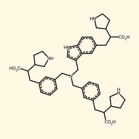 O=C(O)C(Cc1cccc(CN(Cc2cccc(CC(C(=O)O)C3CCNC3)c2)Cc2c[nH]c3ccc(CC(C(=O)O)C4CCNC4)cc23)c1)C1CCNC1